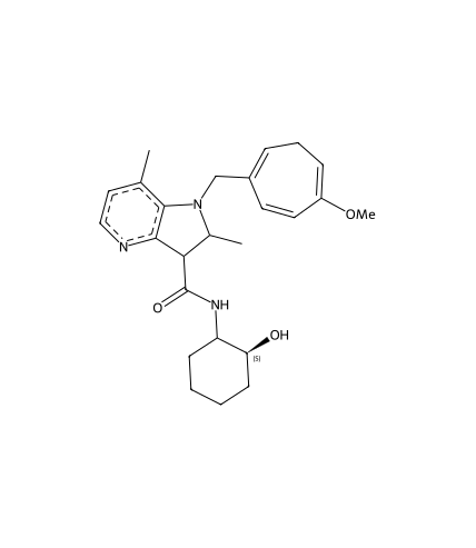 COC1=CCC=C(CN2c3c(C)ccnc3C(C(=O)NC3CCCC[C@@H]3O)C2C)C=C1